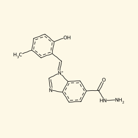 Cc1ccc(O)c(C=[N+]2C=Nc3ccc(C(=O)NN)cc32)c1